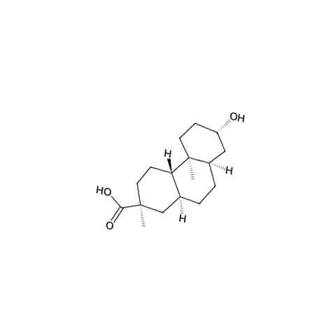 C[C@]1(C(=O)O)CC[C@H]2[C@@H](CC[C@@H]3C[C@@H](O)CC[C@@]32C)C1